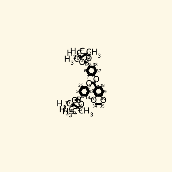 CC1(C)OB(c2ccc(OC(Oc3ccc(B4OC(C)(C)C(C)(C)O4)cc3)c3ccc4c(c3)OCCO4)cc2)OC1(C)C